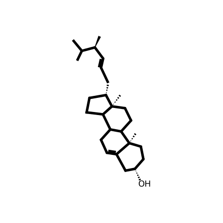 CC(C)[C@@H](C)/C=C/C[C@H]1CCC2C3CC=C4C[C@@H](O)CC[C@]4(C)C3CC[C@@]21C